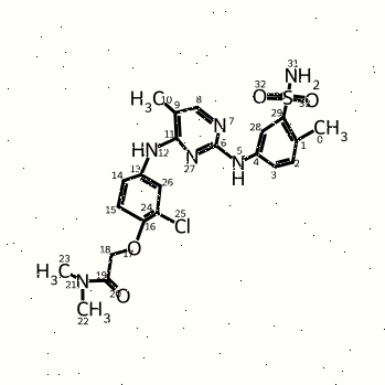 Cc1ccc(Nc2ncc(C)c(Nc3ccc(OCC(=O)N(C)C)c(Cl)c3)n2)cc1S(N)(=O)=O